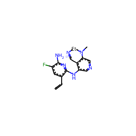 C=Cc1cc(F)c(N)nc1Nc1cncc(N(C)CC)c1/C=N\C